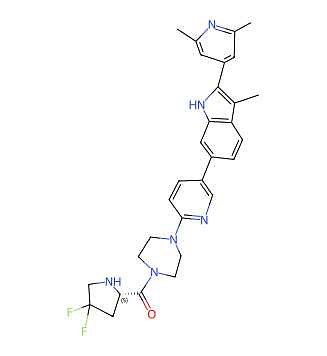 Cc1cc(-c2[nH]c3cc(-c4ccc(N5CCN(C(=O)[C@@H]6CC(F)(F)CN6)CC5)nc4)ccc3c2C)cc(C)n1